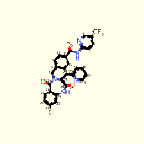 O=C(Nc1ccc(C(F)(F)F)cn1)c1ccc(CN2C(=O)c3ccc(Cl)cc3NC(=O)C2Cc2ccccn2)cc1